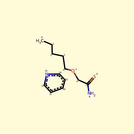 CCCCCOCC(N)=S.c1ccncc1